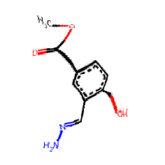 COC(=O)c1ccc(O)c(/C=N/N)c1